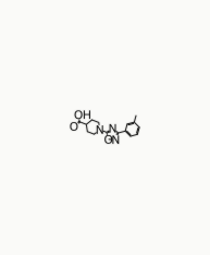 Cc1cccc(-c2noc(N3CCC(C(=O)O)CC3)n2)c1